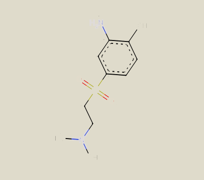 [CH2]c1ccc(S(=O)(=O)CCN(C)C)cc1N